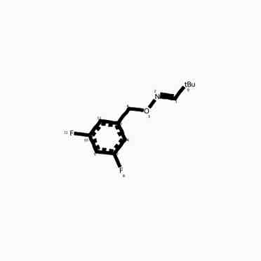 CC(C)(C)C=NOCc1cc(F)cc(F)c1